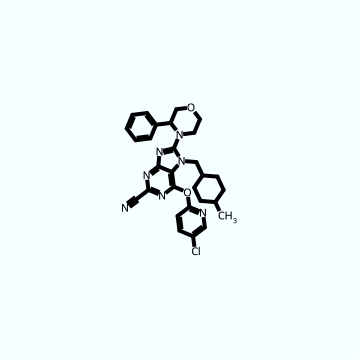 CC1CCC(Cn2c(N3CCOCC3c3ccccc3)nc3nc(C#N)nc(Oc4ccc(Cl)cn4)c32)CC1